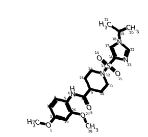 COc1ccc(NC(=O)C2CCN(S(=O)(=O)c3cn(C(C)C)cn3)CC2)c(OC)c1